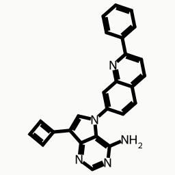 Nc1ncnc2c(C3=CC=C3)cn(-c3ccc4ccc(-c5ccccc5)nc4c3)c12